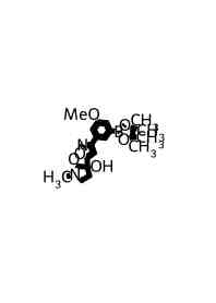 COc1cc(B2OC(C)(C)C(C)(C)O2)cc(-c2cc([C@]3(O)CCN(C)C3=O)on2)c1